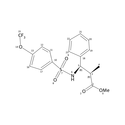 COC(=O)[C@H](C)[C@@H](NS(=O)(=O)c1ccc(OC(F)(F)F)cc1)c1ccccc1